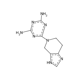 Nc1nc(N)nc(N2CCc3nc[nH]c3C2)n1